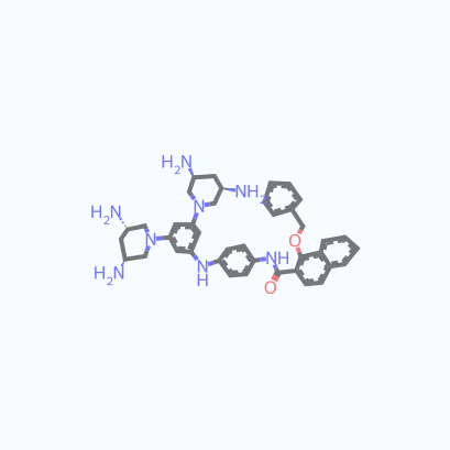 N[C@@H]1C[C@H](N)CN(c2cc(Nc3ccc(NC(=O)c4ccc5ccccc5c4OCc4ccccc4)cc3)cc(N3C[C@H](N)C[C@H](N)C3)c2)C1